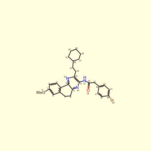 COc1ccc2c(c1)CCc1nc(NC(=O)Cc3ccc(Br)cc3)c(CCC3CCCCC3)nc1-2